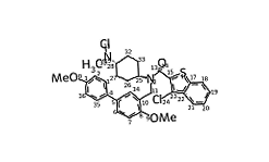 COc1ccc(-c2ccc(OC)c(CN(C(=O)c3sc4ccccc4c3Cl)[C@H]3CC[C@H](N(C)Cl)CC3)c2)cc1